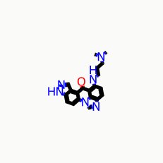 CN(C)CCCNc1ccc2ncn3c4ccc5[nH]ncc5c4c(=O)c1c23